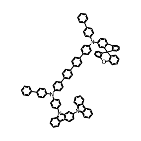 c1ccc(-c2ccc(N(c3ccc(-c4ccc(-c5ccc(-c6ccc(N(c7ccc(-c8ccccc8)cc7)c7ccc8c(c7)C7(c9ccccc9Oc9ccccc97)c7ccccc7-8)cc6)cc5)cc4)cc3)c3ccc(-n4c5ccccc5c5ccc(-n6c7ccccc7c7ccccc76)cc54)cc3)cc2)cc1